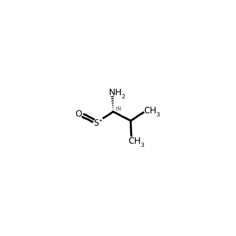 CC(C)[C@@H](N)[S+]=O